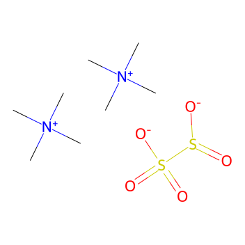 C[N+](C)(C)C.C[N+](C)(C)C.O=S([O-])S(=O)(=O)[O-]